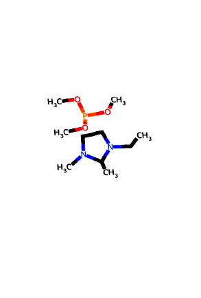 CCN1CCN(C)C1C.COP(OC)OC